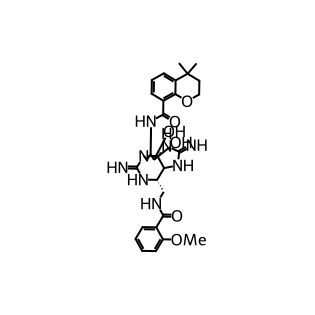 COc1ccccc1C(=O)NC[C@@H]1NC(=N)N2CC(NC(=O)c3cccc4c3OCCC4(C)C)C(O)(O)[C@@]23NC(=N)NC13